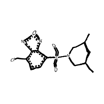 CC1CC(C)CN(S(=O)(=O)c2ccc(Cl)c3nonc23)C1